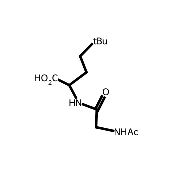 CC(=O)NCC(=O)NC(CCC(C)(C)C)C(=O)O